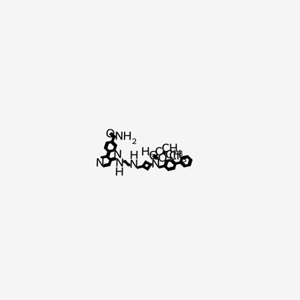 CC(C)(C)OC(=O)N(Cc1ccc(-c2ccccc2)c(Cl)c1)C1CC(CNCCNc2nc3cc(C(N)=O)ccc3c3cnccc23)C1